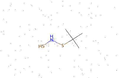 CC(C)(C)SNS